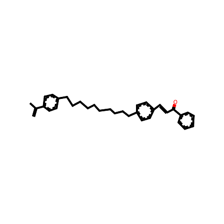 C=C(C)c1ccc(CCCCCCCCCCc2ccc(C=CC(=O)c3ccccc3)cc2)cc1